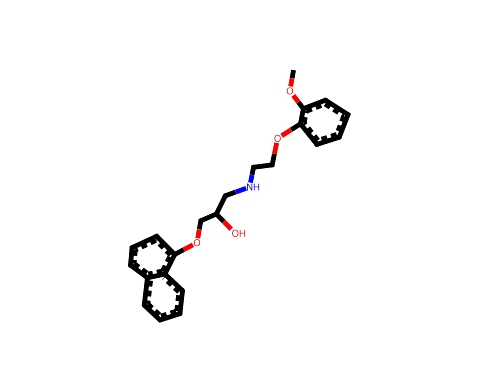 COc1ccccc1OCCNCC(O)COc1cccc2ccccc12